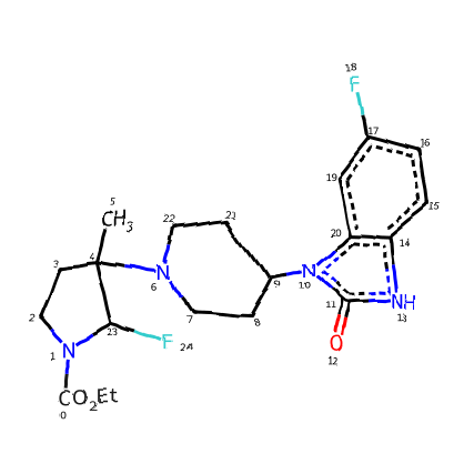 CCOC(=O)N1CCC(C)(N2CCC(n3c(=O)[nH]c4ccc(F)cc43)CC2)C1F